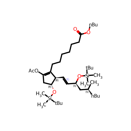 CCCCOC(=O)CCCCCCC1=C(OC(C)=O)C[C@@H](O[Si](C)(C)C(C)(C)C)[C@@H]1/C=C/[C@H](C[C@@H](C)CCCC)O[Si](C)(C)C(C)(C)C